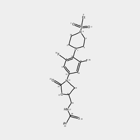 CCS(=O)(=O)N1CCN(c2c(F)cc(N3CC(CNC(=S)C(C)C)OC3=O)cc2F)CC1